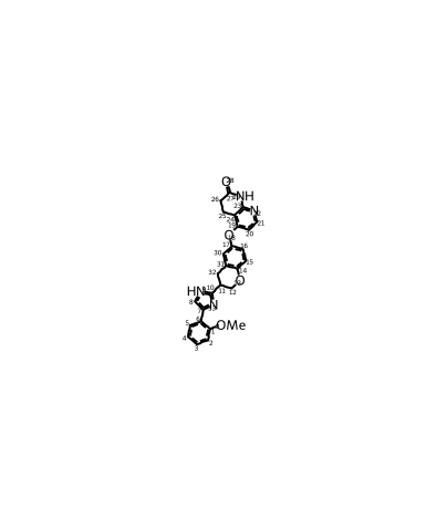 COc1ccccc1-c1c[nH]c(C2COc3ccc(Oc4ccnc5c4CCC(=O)N5)cc3C2)n1